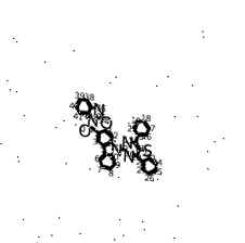 O=c1c2cc3c4ccccc4n(-c4nc(-c5ccccc5)c5sc6ccccc6c5n4)c3cc2oc2nc3ccccc3n12